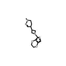 CN1CCC(C2CN(c3scc4c3OCCO4)C2)C=N1